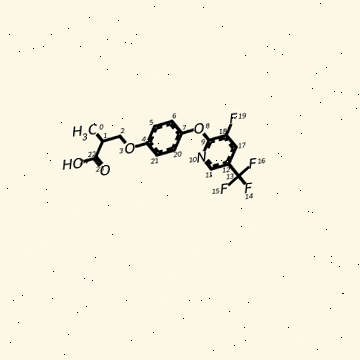 CC(COc1ccc(Oc2ncc(C(F)(F)F)cc2F)cc1)C(=O)O